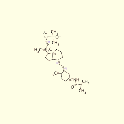 C=C1CC[C@@H](NC(=O)C(C)C)C/C1=C/C=C1\CCC[C@@]2(C)C1CCC2[C@H](C)/C=C/[C@H](C)C(C)(C)O